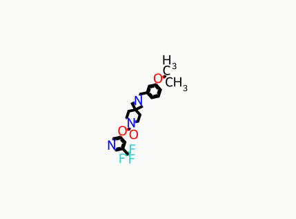 CC(C)Oc1cccc(CN2CC3(CCN(C(=O)Oc4cncc(C(F)(F)F)c4)CC3)C2)c1